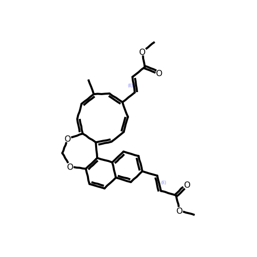 COC(=O)/C=C/c1cccc2c(ccc(C)c1)OCOc1ccc3cc(/C=C/C(=O)OC)ccc3c1-2